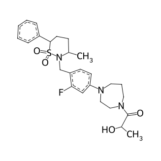 CC(O)C(=O)N1CCCN(c2ccc(CN3C(C)CCC(c4ccccc4)S3(=O)=O)c(F)c2)CC1